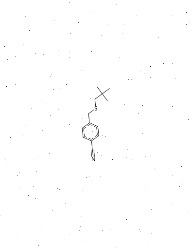 CC(C)(C)CSCc1ccc(C#N)cc1